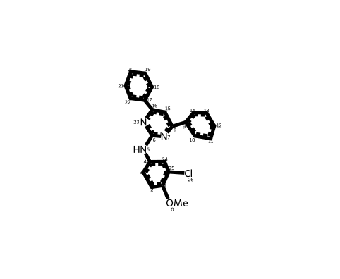 COc1ccc(Nc2nc(-c3ccccc3)cc(-c3ccccc3)n2)cc1Cl